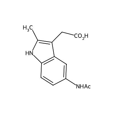 CC(=O)Nc1ccc2[nH]c(C)c(CC(=O)O)c2c1